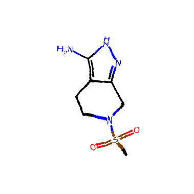 CS(=O)(=O)N1CCc2c(n[nH]c2N)C1